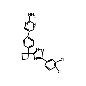 Nc1ncc(-c2ccc(C3(c4noc(-c5ccc(Cl)c(Cl)c5)n4)CCC3)cc2)cn1